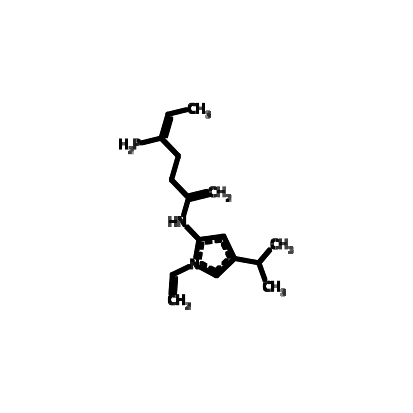 C=Cn1cc(C(C)C)cc1NC(=C)CC/C(P)=C\C